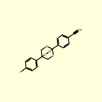 C#Cc1ccc(C23OCC(c4ccc(F)cc4)(CO2)CO3)cc1